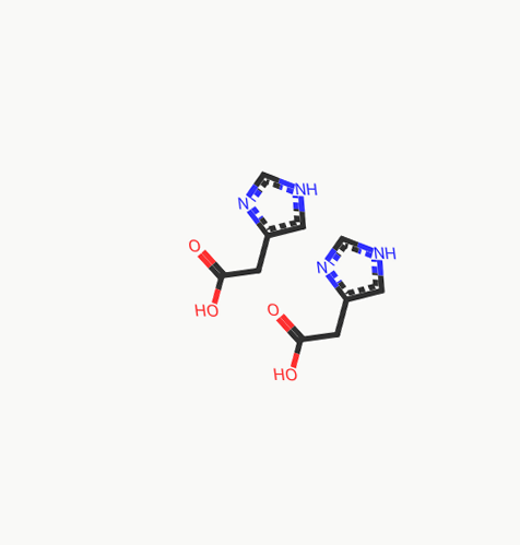 O=C(O)Cc1c[nH]cn1.O=C(O)Cc1c[nH]cn1